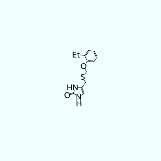 CCc1ccccc1OCSCc1c[nH]c(=O)[nH]1